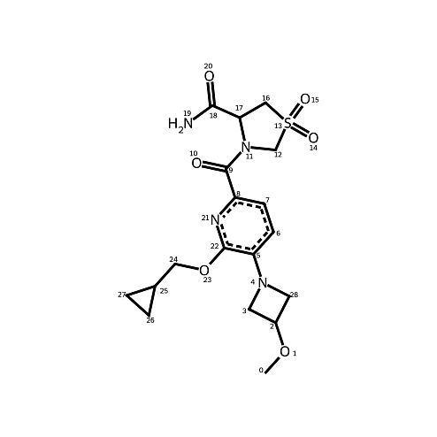 COC1CN(c2ccc(C(=O)N3CS(=O)(=O)CC3C(N)=O)nc2OCC2CC2)C1